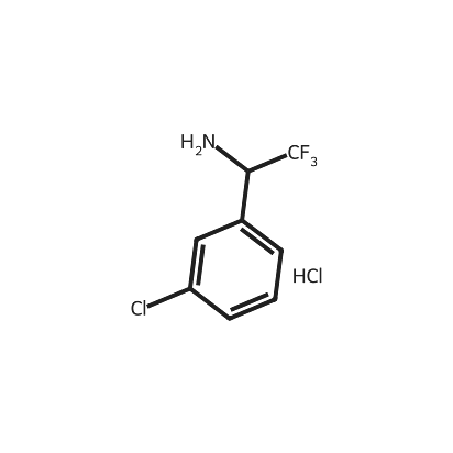 Cl.NC(c1cccc(Cl)c1)C(F)(F)F